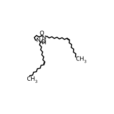 CCCCCCCC/C=C\CCCCCCCCNC(=O)C1CCCN1C(=O)CCCCCCC/C=C\CCCCCCCC